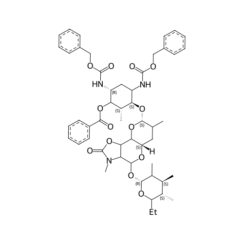 CCC1O[C@H](OC2O[C@H]3CC(C)[C@@H](O[C@@H]4C(NC(=O)OCc5ccccc5)C[C@@H](NC(=O)OCc5ccccc5)C(OC(=O)c5ccccc5)[C@H]4C)OC3C3OC(=O)N(C)C23)C(C)[C@@H](C)[C@@H]1C